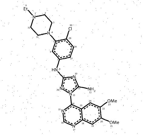 CCN1CCN(c2cc(Nc3nc(N)n(-c4ncnc5cc(OC)c(OC)cc45)n3)ccc2Cl)CC1